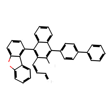 C=C/C=C\c1c(C)c(-c2ccc(-c3ccccc3)cc2)c2ccccc2c1-c1cccc2oc3ccccc3c12